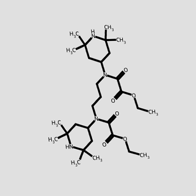 CCOC(=O)C(=O)N(CCCN(C(=O)C(=O)OCC)C1CC(C)(C)NC(C)(C)C1)C1CC(C)(C)NC(C)(C)C1